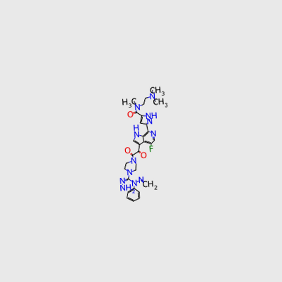 C=NN(/C(=N\N)N1CCN(C(=O)C(=O)c2c[nH]c3c(-c4cc(C(=O)N(C)CCN(C)C)[nH]n4)ncc(F)c23)CC1)c1ccccc1